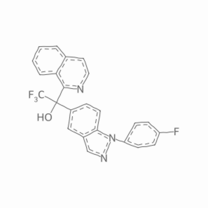 OC(c1ccc2c(cnn2-c2ccc(F)cc2)c1)(c1nccc2ccccc12)C(F)(F)F